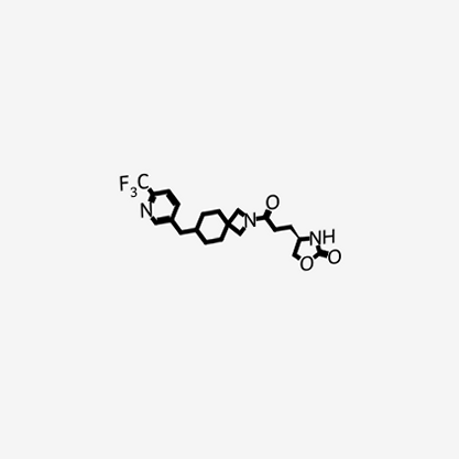 O=C1N[C@H](CCC(=O)N2CC3(CCC(Cc4ccc(C(F)(F)F)nc4)CC3)C2)CO1